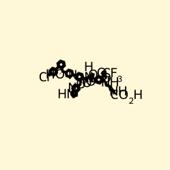 O=C(O)NCCCNc1ccc(S(=O)(=O)NC(=O)c2ccc(N3CCC([C@H](O)c4ccccc4-c4ccc(Cl)cc4)CC3)cc2Oc2cnc3[nH]ccc3c2)cc1S(=O)(=O)C(F)(F)F